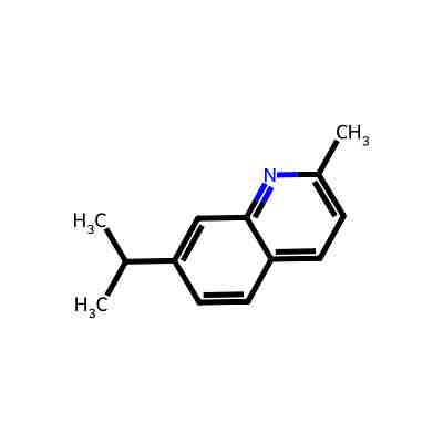 Cc1ccc2ccc(C(C)C)cc2n1